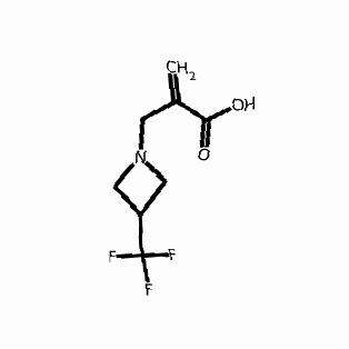 C=C(CN1CC(C(F)(F)F)C1)C(=O)O